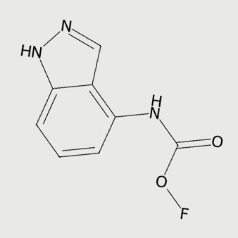 O=C(Nc1cccc2[nH]ncc12)OF